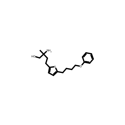 CC(N)(CO)CCc1ccc(CCCCOc2ccccc2)s1